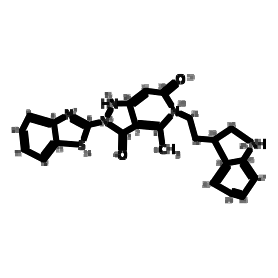 Cc1c2c(=O)n(-c3nc4ccccc4s3)[nH]c2cc(=O)n1CCC1CNc2ccccc21